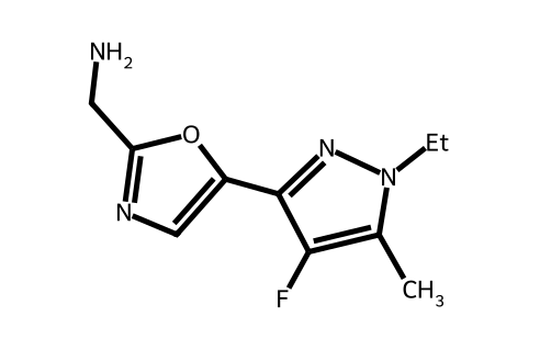 CCn1nc(-c2cnc(CN)o2)c(F)c1C